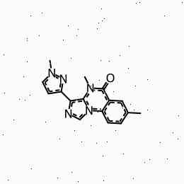 Cc1ccc2c(c1)c(=O)n(C)c1c(-c3ccn(C)n3)ncn21